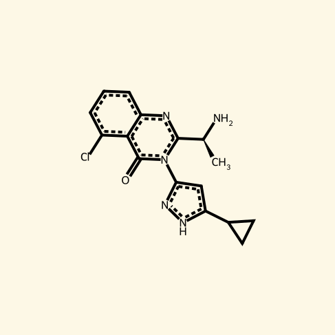 C[C@H](N)c1nc2cccc(Cl)c2c(=O)n1-c1cc(C2CC2)[nH]n1